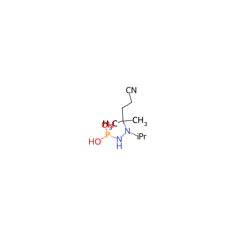 CC(C)N(NP(O)O)C(C)(C)CCC#N